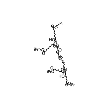 CC(C)CCOC(=O)CCCCCCC(O)CN(CCCCC(=O)OCCN1CCN(CCSSCCCN(CC(O)CCCCC(=O)OC(C)C)CC(O)CCCCC(=O)OC(C)C)CC1)CC(O)CCCCCCC(=O)OCCC(C)C